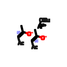 CC(=O)/C=C(/C)[O-].CC(=O)/C=C(/C)[O-].CC(C)C[O][Al+2]